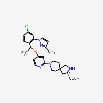 Cc1ccn(-c2cc(Cl)ccc2C(Oc2ccnc(N3CCC4(CC3)CN[C@H](C(=O)O)C4)c2)C(F)(F)F)n1